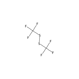 FC(F)(F)SSC(F)(F)F